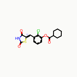 O=C1NC(=O)/C(=C/c2cccc(OC(=O)C3CCCCC3)c2Cl)S1